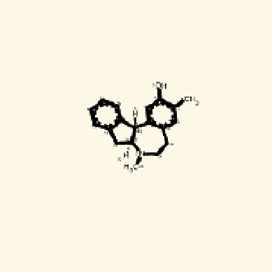 Cc1cc2c(cc1O)[C@H]1c3ccccc3C[C@@H]1N(C)CC2